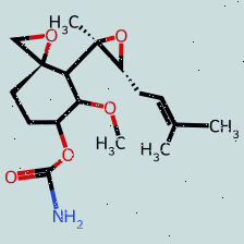 COC1C(OC(N)=O)CC[C@]2(CO2)C1[C@@]1(C)O[C@@H]1CC=C(C)C